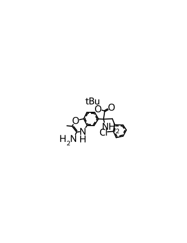 CC1=C(N)Nc2cc(C(N)(Cc3ccccc3Cl)C(=O)OC(C)(C)C)ccc2O1